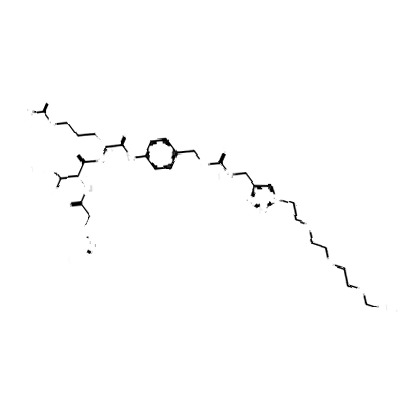 C=NOCC(=O)N[C@H](C(=O)N[C@@H](CCCNC(N)=O)C(=O)Nc1ccc(COC(=O)NCc2cn(CCOCCOCCOCC)nn2)cc1)C(C)C